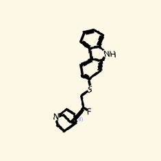 F/C(CSc1ccc2c(c1)[nH]c1ccccc12)=C1/CN2CCC1CC2